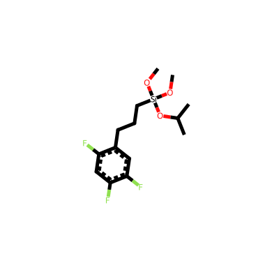 CO[Si](CCCc1cc(F)c(F)cc1F)(OC)OC(C)C